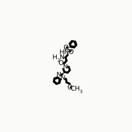 COCCCn1c([C@@H]2CCCN(C(=O)C[C@H](N)CNS(=O)(=O)c3ccccc3)C2)nc2ccccc21